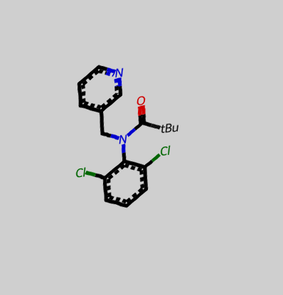 CC(C)(C)C(=O)N(Cc1cccnc1)c1c(Cl)cccc1Cl